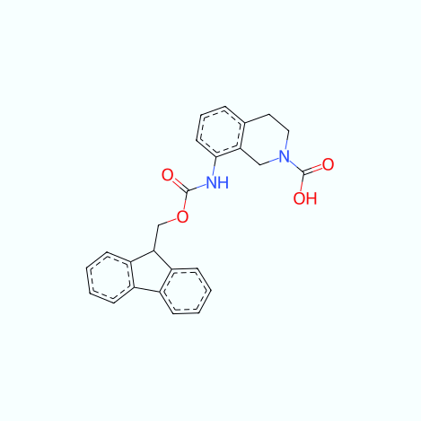 O=C(Nc1cccc2c1CN(C(=O)O)CC2)OCC1c2ccccc2-c2ccccc21